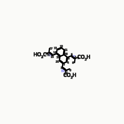 C/C(=C\c1cc(/C=C(\C)C(=O)O)c2cccc(/C=C(\C)C(=O)O)c2c1)C(=O)O